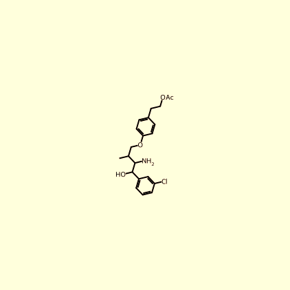 CC(=O)OCCc1ccc(OCC(C)C(N)C(O)c2cccc(Cl)c2)cc1